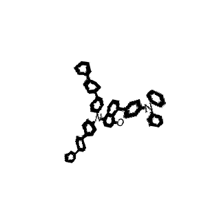 c1ccc(-c2ccc(-c3ccc(N(c4ccc(-c5ccc(-c6ccccc6)cc5)cc4)c4ccc5c6c(cccc46)-c4ccc(N(c6ccccc6)c6ccccc6)cc4O5)cc3)cc2)cc1